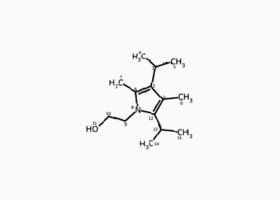 Cc1c(C(C)C)c(C)n(CCO)c1C(C)C